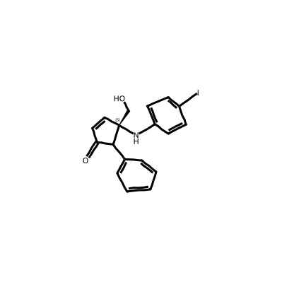 O=C1C=C[C@](CO)(Nc2ccc(I)cc2)C1c1ccccc1